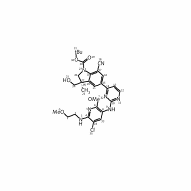 COCCNc1nc(OC)c(Nc2nccc(-c3cc(C#N)c4c(c3)[C@@](C)(CO)CN4C(=O)OC(C)(C)C)n2)cc1Cl